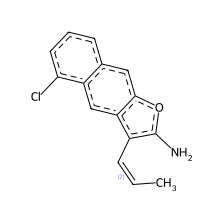 C/C=C\c1c(N)oc2cc3cccc(Cl)c3cc12